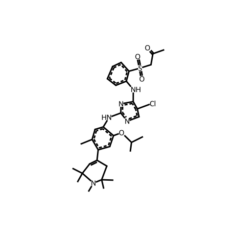 CC(=O)CS(=O)(=O)c1ccccc1Nc1nc(Nc2cc(C)c(C3=CC(C)(C)N(C)C(C)(C)C3)cc2OC(C)C)ncc1Cl